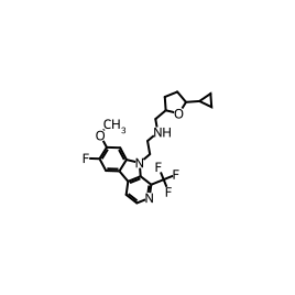 COc1cc2c(cc1F)c1ccnc(C(F)(F)F)c1n2CCNCC1CCC(C2CC2)O1